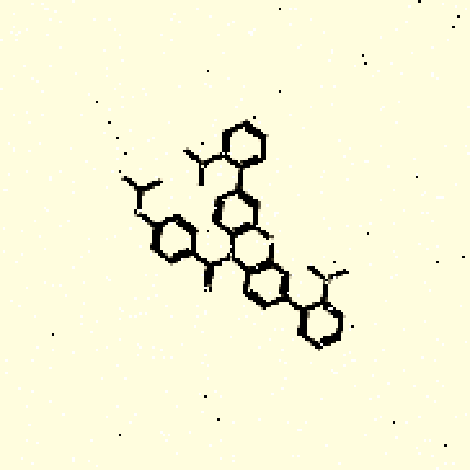 CC(C)Oc1ccc(C(=O)N2c3ccc(-c4ccccc4N(C)C)cc3Sc3cc(-c4ccccc4N(C)C)ccc32)cc1